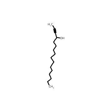 CC#CC(O)CCCCCCCCCCCC